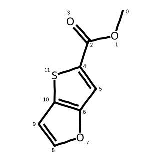 COC(=O)c1cc2occc2s1